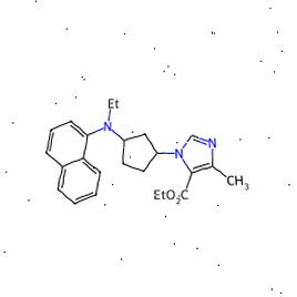 CCOC(=O)c1c(C)ncn1C1CCC(N(CC)c2cccc3ccccc23)C1